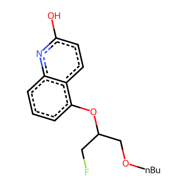 CCCCOCC(CF)Oc1cccc2nc(O)ccc12